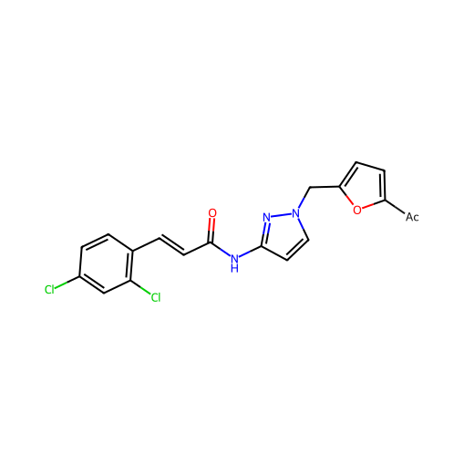 CC(=O)c1ccc(Cn2ccc(NC(=O)C=Cc3ccc(Cl)cc3Cl)n2)o1